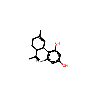 C=C(C)C1CCC(C)=C[C@H]1c1c(O)cc(O)cc1CCCCC